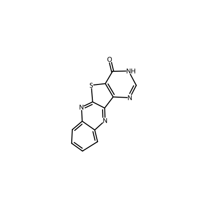 O=c1[nH]cnc2c1sc1nc3ccccc3nc12